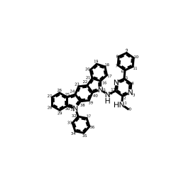 CNc1ncc(-c2ccccc2)nc1Nn1c2ccccc2c2cc3c4ccccc4n(-c4ccccc4)c3cc21